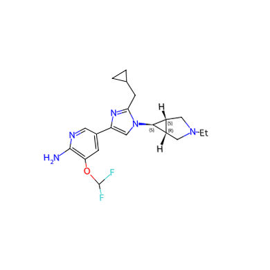 CCN1C[C@@H]2[C@H](C1)[C@H]2n1cc(-c2cnc(N)c(OC(F)F)c2)nc1CC1CC1